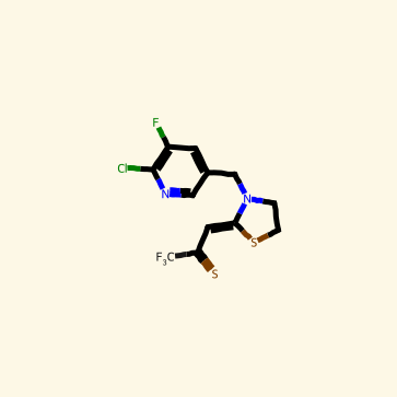 Fc1cc(CN2CCSC2=CC(=S)C(F)(F)F)cnc1Cl